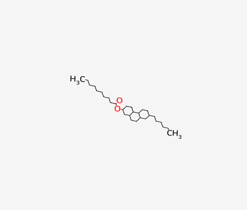 CCCCCCCCCC(=O)OC1CCC2C(CCC3CC(CCCCCC)CCC32)C1